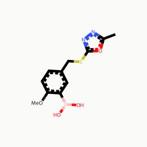 COc1ccc(CSc2nnc(C)o2)cc1B(O)O